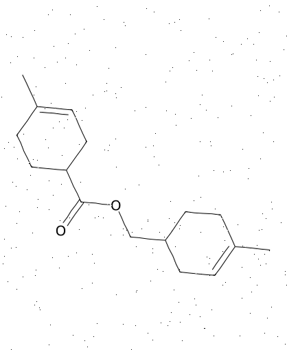 CC1=CCC(COC(=O)C2CC=C(C)CC2)CC1